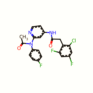 CC(=O)N(c1ccc(F)cc1)c1cc(NC(=O)Cc2c(F)cc(F)cc2Cl)ccn1